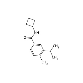 Cc1ccc(C(=O)NC2CCC2)cc1C(C)C